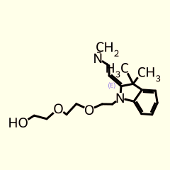 C=NC/C=C1/N(CCOCCOCCO)c2ccccc2C1(C)C